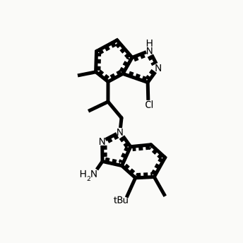 Cc1ccc2[nH]nc(Cl)c2c1C(C)Cn1nc(N)c2c(C(C)(C)C)c(C)ccc21